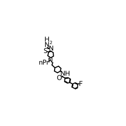 CCCN(CCC1CCC(NC(=O)c2ccc(-c3cccc(F)c3)cc2)CC1)[C@H]1CCc2nc(N)sc2C1